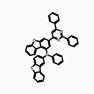 c1ccc(-c2cc(-c3cc(N(c4ccccc4)c4ccc5sc6ccccc6c5c4)c4c(c3)oc3ccccc34)nc(-c3ccccc3)n2)cc1